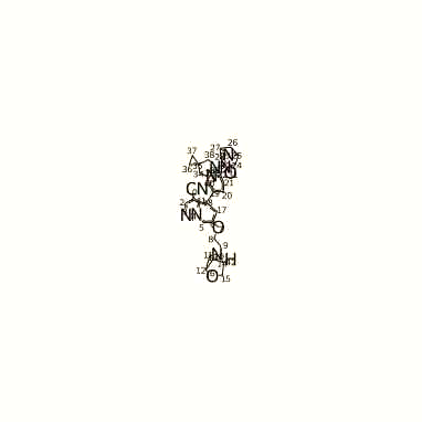 N#Cc1cnn2cc(OCCN3CC4C[C@@H]3CO4)cc(-c3ccc(N4CC5CC(C4)N5C(=O)N4CCC5(CC5)C4)nc3)c12